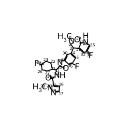 COCC(c1cc(F)c2oc(C(NC(=O)c3ccnn3C)C3CCC(F)CC3)nc2c1)c1cc(F)c[nH]c1=O